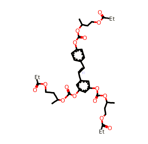 CCC(=O)OCCC(C)OC(=O)Oc1ccc(/C=C/c2cc(OC(=O)OC(C)CCOC(=O)CC)cc(OC(=O)OC(C)CCOC(=O)CC)c2)cc1